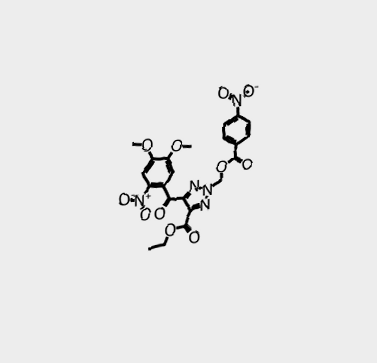 CCOC(=O)c1nn(COC(=O)c2ccc([N+](=O)[O-])cc2)nc1C(=O)c1cc(OC)c(OC)cc1[N+](=O)[O-]